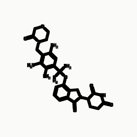 Bc1cc(C(B)(B)Oc2cccc3c2CN(C2CCC(=O)NC2=O)C3=O)c(B)c(B)c1CN1CCOCC1=O